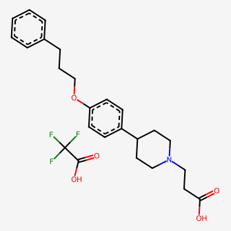 O=C(O)C(F)(F)F.O=C(O)CCN1CCC(c2ccc(OCCCc3ccccc3)cc2)CC1